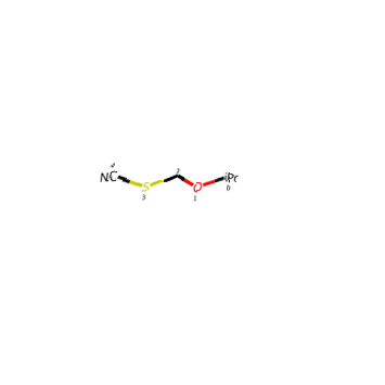 CC(C)OCSC#N